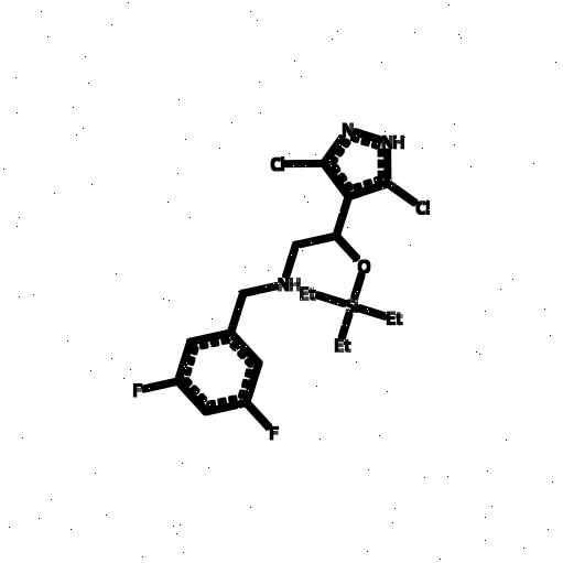 CC[Si](CC)(CC)OC(CNCc1cc(F)cc(F)c1)c1c(Cl)n[nH]c1Cl